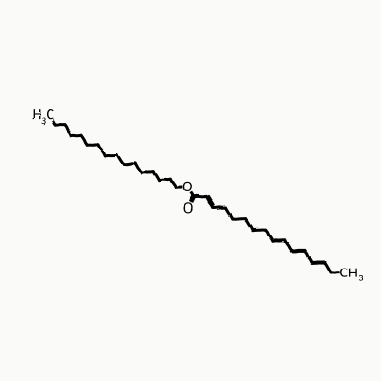 CCCCCCCCCCCCC/C=C/C(=O)OCCCCCCCCCCCCCCCC